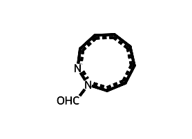 O=Cn1cccccccn1